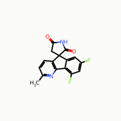 Cc1ccc2c(n1)-c1c(F)cc(F)cc1C21CC(=O)NC1=O